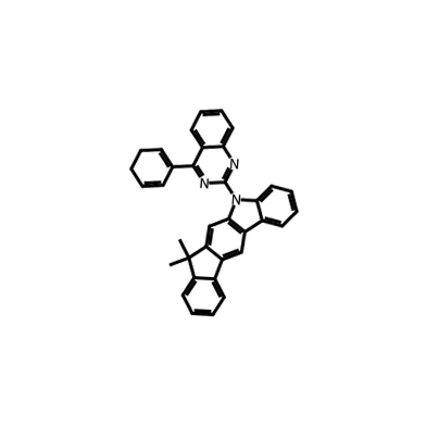 CC1(C)c2ccccc2-c2cc3c4ccccc4n(-c4nc(C5=CCCC=C5)c5ccccc5n4)c3cc21